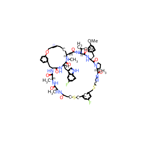 COc1ccc(C[C@@H]2NC(=O)[C@H]([C@@H](C)OC)NC(=O)[C@@H]3CCC/C=C\COc4cccc(c4)CC(NC(=O)[C@@H](C)NC(=O)[C@H](C)NC(=O)CCSCc4cc(F)cc(c4)CSCCNC(=O)[C@]4(C)CCCN4C2=O)C(=O)N[C@@H](Cc2c[nH]c4ccc(F)cc24)C(=O)N3C)cc1